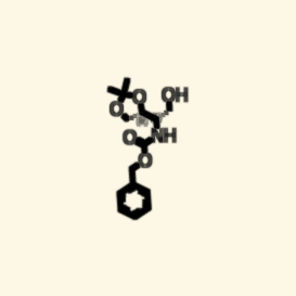 CC1(C)OC[C@@H]([C@H](CO)NC(=O)OCc2ccccc2)O1